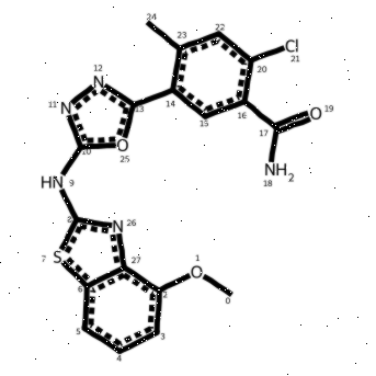 COc1cccc2sc(Nc3nnc(-c4cc(C(N)=O)c(Cl)cc4C)o3)nc12